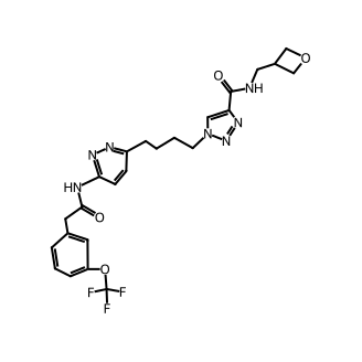 O=C(Cc1cccc(OC(F)(F)F)c1)Nc1ccc(CCCCn2cc(C(=O)NCC3COC3)nn2)nn1